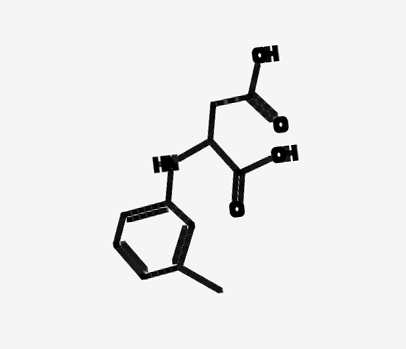 Cc1cccc(NC(CC(=O)O)C(=O)O)c1